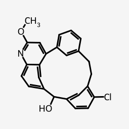 COc1cc2c3cc(ccc3n1)C(O)c1ccc(Cl)c(c1)CCc1cccc-2c1